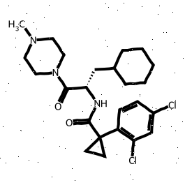 CN1CCN(C(=O)[C@H](CC2CCCCC2)NC(=O)C2(c3ccc(Cl)cc3Cl)CC2)CC1